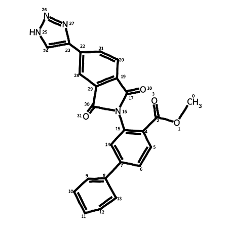 COC(=O)c1ccc(-c2ccccc2)cc1N1C(=O)c2ccc(-c3c[nH]nn3)cc2C1=O